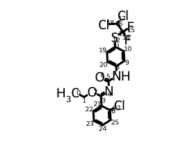 CCOC(=NC(=O)Nc1ccc(SC(F)(F)C(Cl)Cl)cc1)c1ccccc1Cl